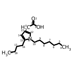 CC(=O)O.CCCCCCCn1cccc1CCCC